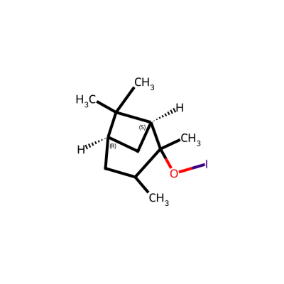 CC1C[C@@H]2C[C@H](C1(C)OI)C2(C)C